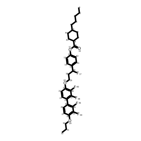 CCCCCC1CCC(C(=O)Oc2ccc(C(F)CCOc3ccc(-c4ccc(OCCC)c(F)c4F)c(F)c3F)cc2)CC1